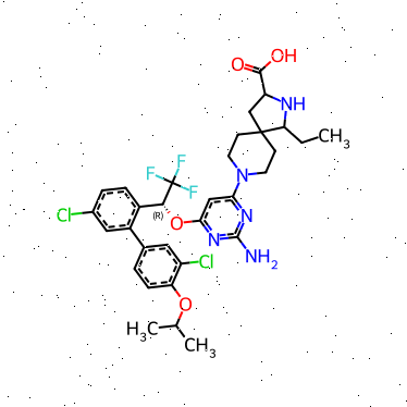 CCC1NC(C(=O)O)CC12CCN(c1cc(O[C@H](c3ccc(Cl)cc3-c3ccc(OC(C)C)c(Cl)c3)C(F)(F)F)nc(N)n1)CC2